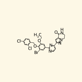 CCOc1cc(-c2nccc(-c3cc4n(n3)CCNC4=O)n2)cc(Br)c1OCc1ccc(Cl)cc1Cl